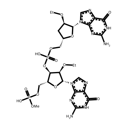 CCO[C@@H]1[C@H](OP(=O)(O)OC[C@@H]2C[C@@H](OCC)[C@H](n3cnc4c(=O)[nH]c(N)nc43)O2)[C@@H](COP(=O)(O)OC)O[C@H]1n1cnc2c(=O)[nH]c(N)nc21